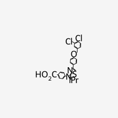 CC(C)N(c1ccc(C(=O)O)cc1)c1nc(-c2ccc(OCc3ccc(Cl)c(Cl)c3)cc2)cs1